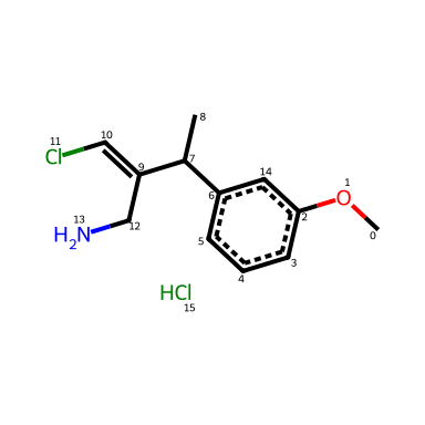 COc1cccc(C(C)/C(=C/Cl)CN)c1.Cl